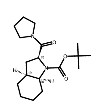 CC(C)(C)OC(=O)N1[C@H](C(=O)N2CCCC2)C[C@@H]2CCCC[C@@H]21